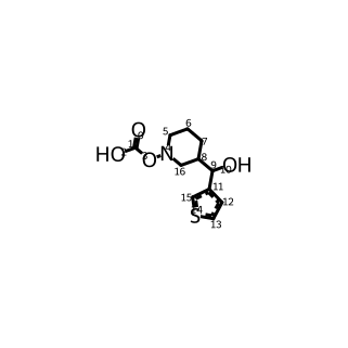 O=C(O)ON1CCCC(C(O)c2ccsc2)C1